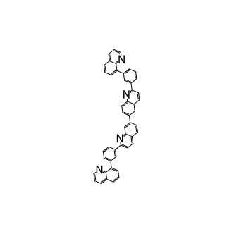 C1=CC2CC(c3ccc4ccc(-c5cccc(-c6cccc7cccnc67)c5)nc4c3)=CC=C2N=C1c1cccc(-c2cccc3cccnc23)c1